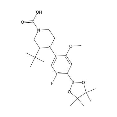 COc1cc(B2OC(C)(C)C(C)(C)O2)c(F)cc1N1CCN(C(=O)O)CC1C(C)(C)C